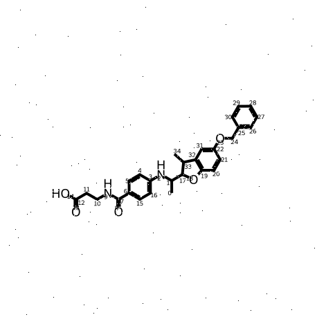 CC(Nc1ccc(C(=O)NCCC(=O)O)cc1)C1Oc2ccc(OCc3ccccc3)cc2C1C